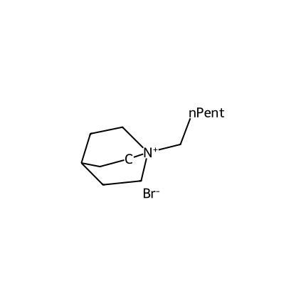 CCCCCC[N+]12CCC(CC1)CC2.[Br-]